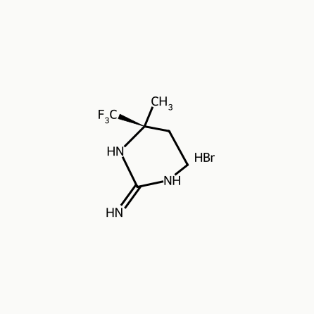 Br.C[C@]1(C(F)(F)F)CCNC(=N)N1